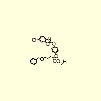 O=C(O)C(CCCOCc1ccccc1)Oc1ccc(Oc2nc3ccc(Cl)cc3o2)cc1